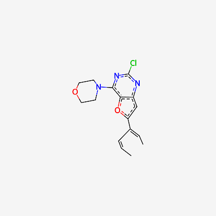 C/C=C\C(=C/C)c1cc2nc(Cl)nc(N3CCOCC3)c2o1